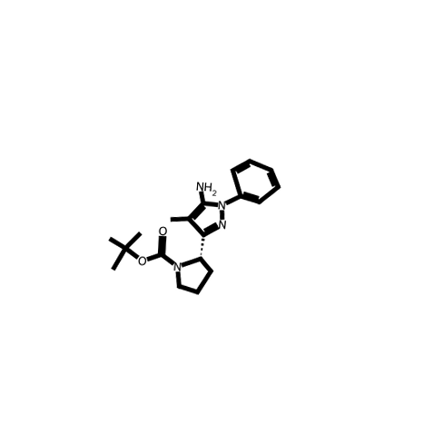 Cc1c([C@@H]2CCCN2C(=O)OC(C)(C)C)nn(-c2ccccc2)c1N